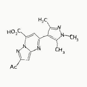 CC(=O)c1cc2nc(-c3c(C)nn(C)c3C)cc(C(=O)O)n2n1